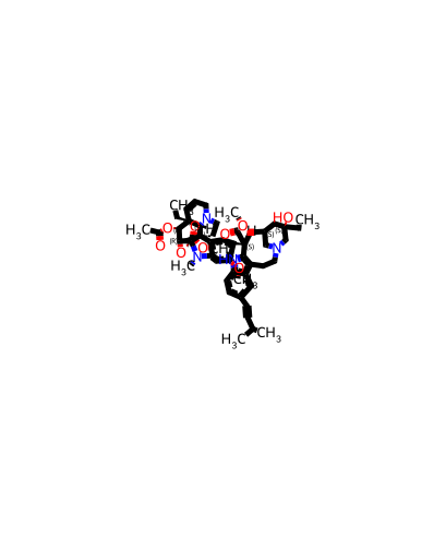 CC[C@]1(O)C[C@H]2CN(CCc3c([nH]c4ccc(C#CC(C)C)cc34)[C@@](C(=O)OC)(c3cc4c(cc3OC)N(C)[C@@]35O[C@]3(C(=O)OC)[C@H](OC(C)=O)[C@]3(CC)C=CCN6CC[C@]45[C@@H]63)C2)C1